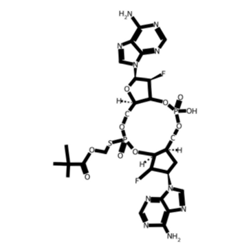 CC(C)(C)C(=O)OCSP1(=O)OC[C@H]2O[C@@H](n3cnc4c(N)ncnc43)[C@@H](F)C2OP(=O)(O)OC[C@H]2C[C@@H](n3cnc4c(N)ncnc43)C(F)[C@H]2O1